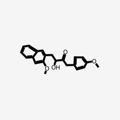 COc1ccc(CC(=O)C(O)Cc2cc3ccccc3cc2OC)cc1